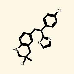 CC1(Cl)CNc2ccc(CC(c3ccc(Cl)cc3)c3ncco3)cc2C1